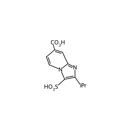 CC(C)c1nc2cc(C(=O)O)ccn2c1S(=O)(=O)O